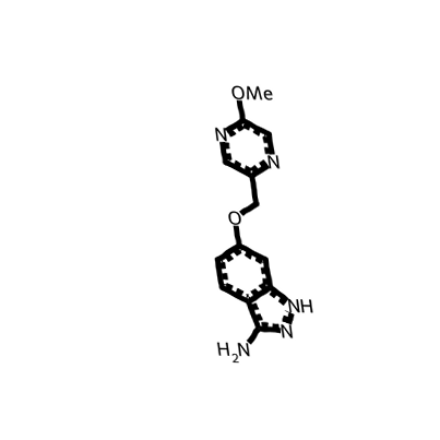 COc1cnc(COc2ccc3c(N)n[nH]c3c2)cn1